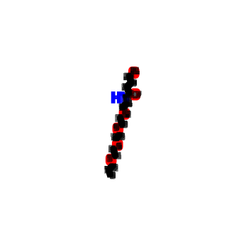 CCCOCCOCCOCCOCCNC(=O)CCC=O